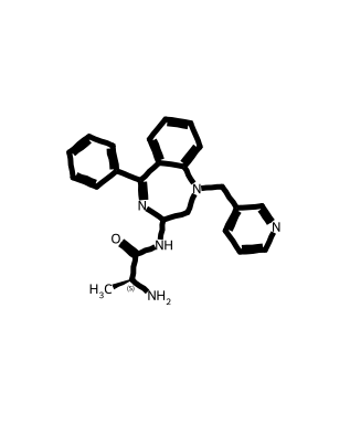 C[C@H](N)C(=O)NC1CN(Cc2cccnc2)c2ccccc2C(c2ccccc2)=N1